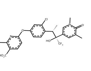 Cc1nc(Oc2ccc([C@H](C)[C@](O)(c3cc(C)c(=O)n(C)c3)C(F)(F)F)c(Cl)c2)ccc1C(=O)O